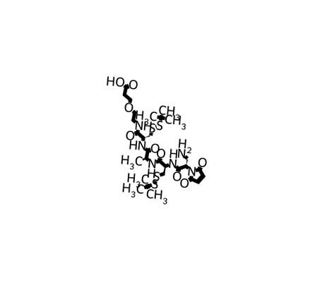 C[C@H](NC(=O)[C@H](CSSC(C)(C)C)NC(=O)[C@H](CN)N1C(=O)C=CC1=O)C(=O)N[C@@H](CSSC(C)(C)C)C(=O)NCCOCCC(=O)O